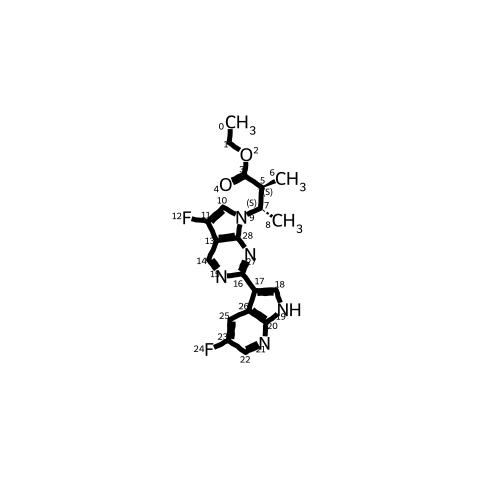 CCOC(=O)[C@@H](C)[C@H](C)n1cc(F)c2cnc(-c3c[nH]c4ncc(F)cc34)nc21